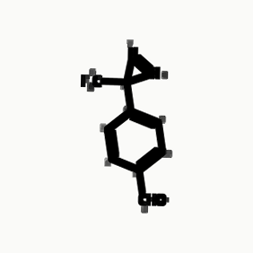 O=[C]c1ccc(C2(C(F)(F)F)N=N2)cc1